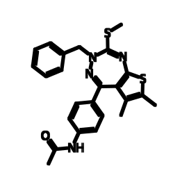 CSC1=Nc2sc(C)c(C)c2C(c2ccc(NC(C)=O)cc2)=NN1Cc1ccccc1